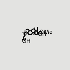 COC[C@@]1(O)CC[C@]2(C)C3CC[C@@]4(C)C(CC[C@@H]4[C@H](C)CCC(C)(C)O)C3CC[C@H]2C1